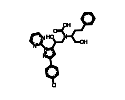 O=C(O)N(CC(O)c1cc(-c2ccc(Cl)cc2)nn1-c1ncccn1)C(CO)CCc1ccccc1